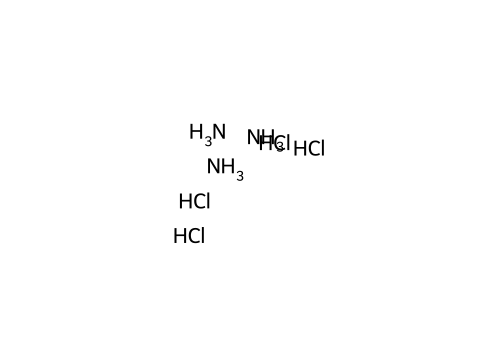 Cl.Cl.Cl.Cl.N.N.N